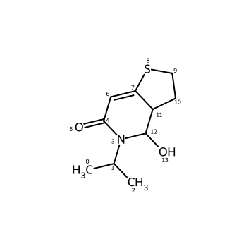 CC(C)N1C(=O)C=C2SCCC2C1O